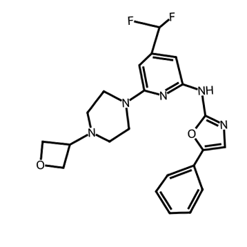 FC(F)c1cc(Nc2ncc(-c3ccccc3)o2)nc(N2CCN(C3COC3)CC2)c1